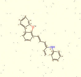 C=C/C(=C\C=C\c1cccc2c1oc1ccccc12)Nc1ccccc1